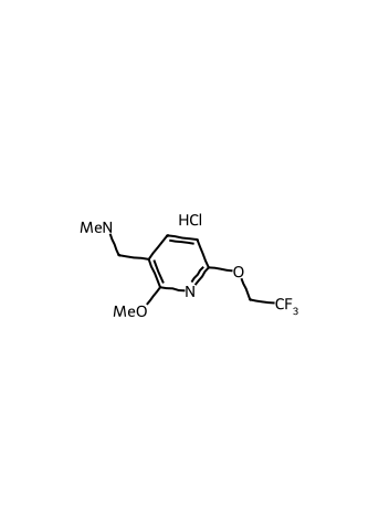 CNCc1ccc(OCC(F)(F)F)nc1OC.Cl